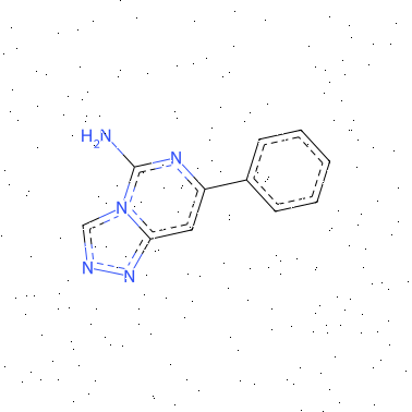 Nc1nc(-c2ccccc2)cc2nncn12